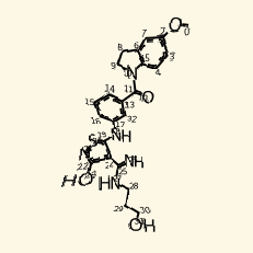 COc1ccc2c(c1)CCN2C(=O)c1cccc(Nc2snc(O)c2C(=N)NCCCO)c1